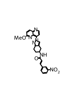 COc1ccc2nccc(-n3cc4c(n3)CCC(NC(=O)C=Cc3cccc([N+](=O)[O-])c3)C4)c2n1